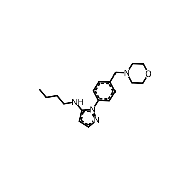 CCCCNc1ccnn1-c1ccc(CN2CCOCC2)cc1